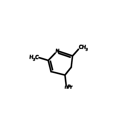 CCCC1C=C(C)N=C(C)C1